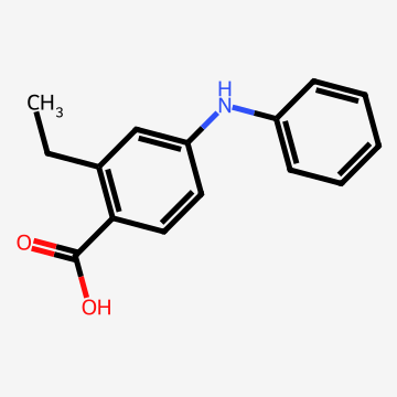 CCc1cc(Nc2ccccc2)ccc1C(=O)O